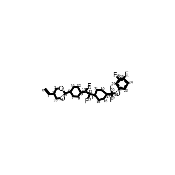 C=CC1COC(C2CCC(C(F)C(F)C3CCC(C(F)(F)Oc4ccc(F)c(F)c4)CC3)CC2)OC1